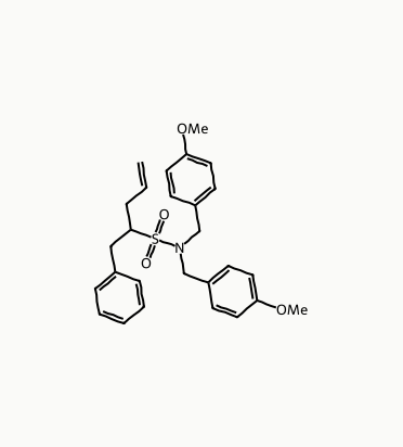 C=CCC(Cc1ccccc1)S(=O)(=O)N(Cc1ccc(OC)cc1)Cc1ccc(OC)cc1